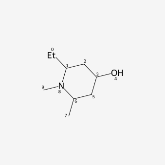 CCC1CC(O)CC(C)N1C